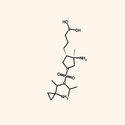 CC(C)N(C(C)C1(N)CC1)S(=O)(=O)N1C[C@H](CCCB(O)O)[C@@](C)(N)C1